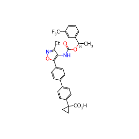 CCc1noc(-c2ccc(-c3ccc(C4(C(=O)O)CC4)cc3)cc2)c1NC(=O)O[C@H](C)c1cccc(C(F)(F)F)c1